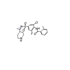 C/C(=N/S(=O)(=O)c1cc(F)c(NC(=O)c2ccccc2C)c(Cl)c1)C1CCNCC1